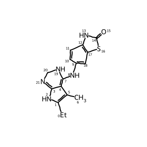 CCc1[nH]c2c(c1C)=C(Nc1ccc3[nH]c(=O)sc3c1)NCN=2